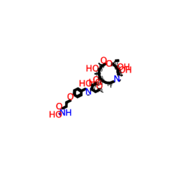 CC[C@H]1OC(=O)[C@H](C)[C@@H](O)[C@H](C)[C@@H](O[C@@H]2O[C@H](C)C[C@H](N(C)Cc3ccc(OCCCC(=O)NO)cc3)[C@@H]2O)[C@](C)(O)C[C@@H](C)CN(C)[C@H](C)[C@@H](O)[C@]1(C)O